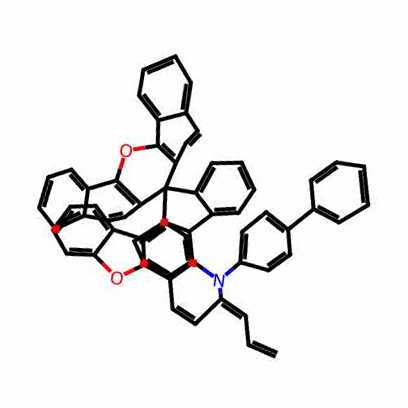 C=C/C=C(\C=C/c1ccc2c(c1)-c1ccccc1C21c2ccc3ccccc3c2Oc2c1ccc1ccccc21)N(c1ccc(-c2ccccc2)cc1)c1ccc2c(c1)oc1ccccc12